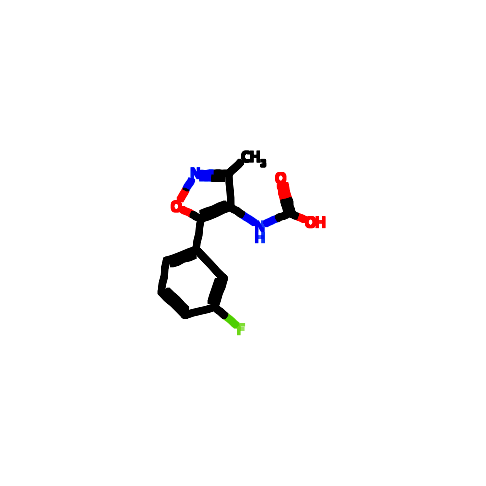 Cc1noc(-c2cccc(F)c2)c1NC(=O)O